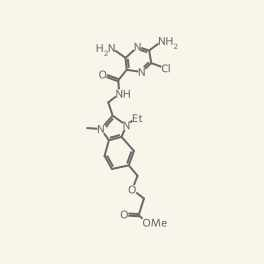 CCn1c(CNC(=O)c2nc(Cl)c(N)nc2N)[n+](C)c2ccc(COCC(=O)OC)cc21